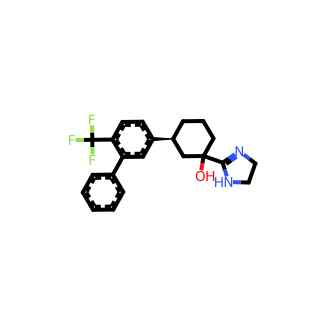 OC1(C2=NCCN2)CCC[C@H](c2ccc(C(F)(F)F)c(-c3ccccc3)c2)C1